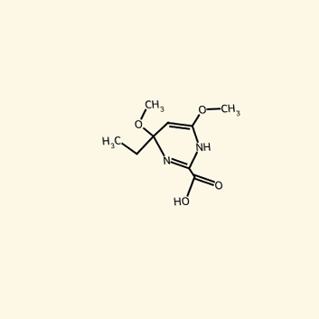 CCC1(OC)C=C(OC)NC(C(=O)O)=N1